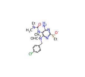 CCN(C)C(=O)N(C)c1c(N)nc([S@@+]([O-])CC)nc1N(C=O)Cc1ccc(Cl)cc1